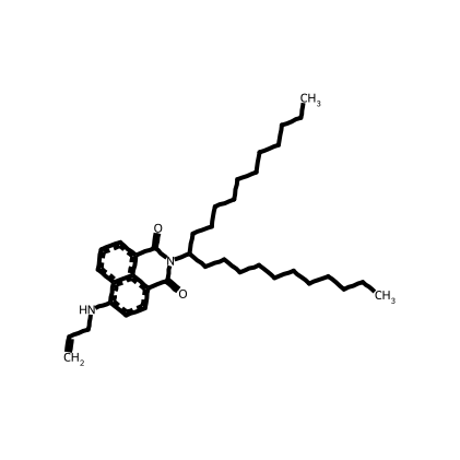 C=CCNc1ccc2c3c(cccc13)C(=O)N(C(CCCCCCCCCCC)CCCCCCCCCCC)C2=O